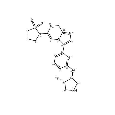 O=S1(=O)CCCN1c1cn2c(-c3cccc(N[C@H]4CNC[C@@H]4F)n3)cnc2cn1